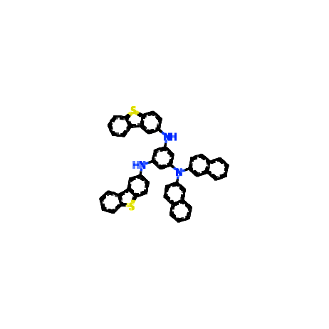 c1ccc2cc(N(c3cc(Nc4ccc5sc6ccccc6c5c4)cc(Nc4ccc5sc6ccccc6c5c4)c3)c3ccc4ccccc4c3)ccc2c1